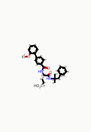 CCOc1ccccc1-c1ccc(C(=O)N[C@@H](CCC(=O)O)C(=O)NC(C)(C)Cc2ccccc2)cc1